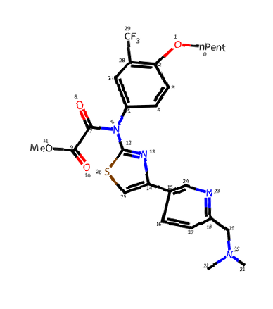 CCCCCOc1ccc(N(C(=O)C(=O)OC)c2nc(-c3ccc(CN(C)C)nc3)cs2)cc1C(F)(F)F